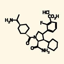 CC(N)[C@H]1CC[C@H](C(=O)N2CC(c3cccc(C(=O)O)c3F)[C@@H](C3CCCCC3)[C@H]2C(N)=O)CC1.Cl